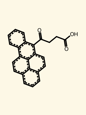 O=C(O)CCC(=O)c1c2ccccc2c2ccc3cccc4ccc1c2c43